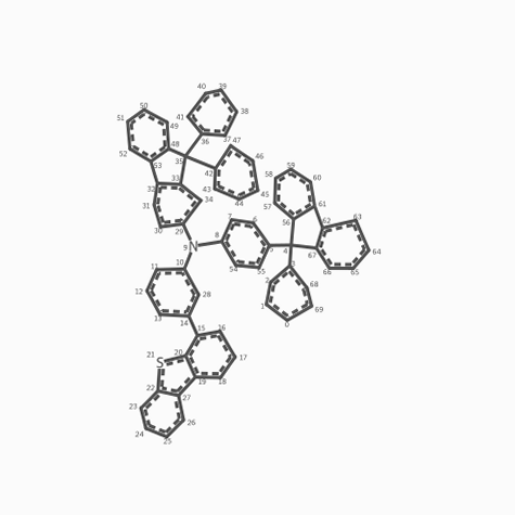 c1ccc(C2(c3ccc(N(c4cccc(-c5cccc6c5sc5ccccc56)c4)c4ccc5c(c4)C(c4ccccc4)(c4ccccc4)c4ccccc4-5)cc3)c3ccccc3-c3ccccc32)cc1